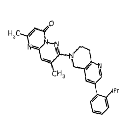 Cc1cc(=O)n2nc(N3CCc4ncc(-c5ccccc5C(C)C)cc4C3)c(C)cc2n1